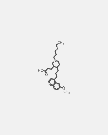 CCSCCCN1CCC(CCCc2ccnc3ccc(OC)cc23)C(CCC(=O)O)C1